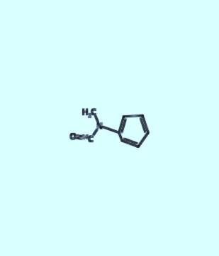 CN([14CH]=O)c1ccccc1